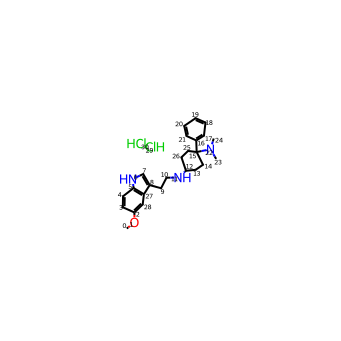 COc1ccc2[nH]cc(CCNC3CCC(c4ccccc4)(N(C)C)CC3)c2c1.Cl.Cl